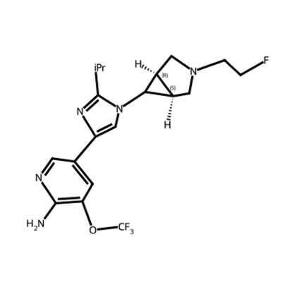 CC(C)c1nc(-c2cnc(N)c(OC(F)(F)F)c2)cn1C1[C@H]2CN(CCF)C[C@@H]12